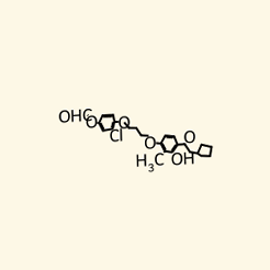 Cc1c(OCCCCOc2ccc(OC=O)cc2Cl)ccc(C(=O)CC2CCCC2)c1O